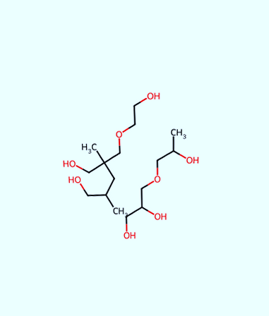 CC(CO)CC(C)(CO)COCCO.CC(O)COCC(O)CO